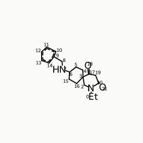 CCN1CC2(CCC(NCc3ccccc3)CC2)C(=O)CC1=O